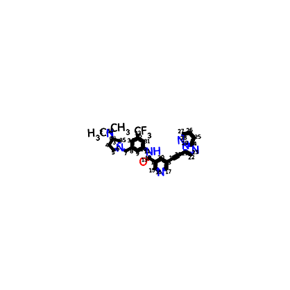 CN(C)[C@@H]1CCN(Cc2cc(NC(=O)c3cncc(C#Cc4cnc5cccnn45)c3)cc(C(F)(F)F)c2)C1